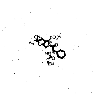 CC(C)(C)OC(=O)N[C@H](C(=O)N1CC2OC(C)(C)CC2[C@H]1C(=O)O)C1CCCCC1